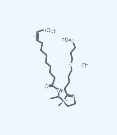 CCCCCCCC/C=C\CCCCCCCC(=O)NC(C)[N+]1(C)CCN=C1CCCCCCCCCCCCCCCCCC.[Cl-]